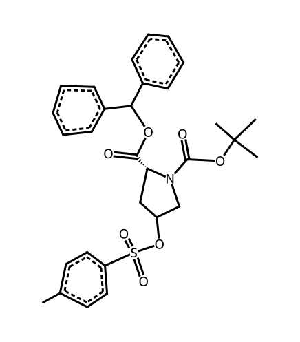 Cc1ccc(S(=O)(=O)OC2C[C@H](C(=O)OC(c3ccccc3)c3ccccc3)N(C(=O)OC(C)(C)C)C2)cc1